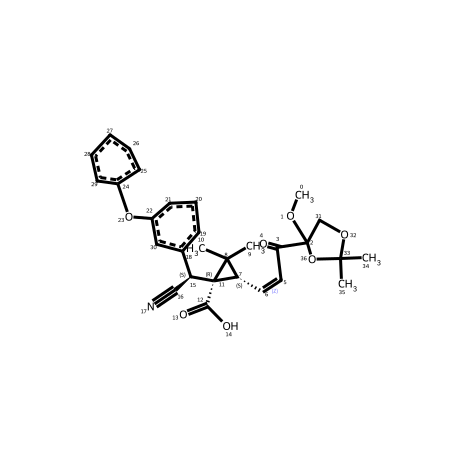 COC1(C(=O)/C=C\[C@H]2C(C)(C)[C@]2(C(=O)O)[C@@H](C#N)c2cccc(Oc3ccccc3)c2)COC(C)(C)O1